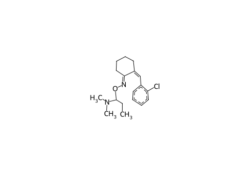 CCC(ON=C1CCCCC1=Cc1ccccc1Cl)N(C)C